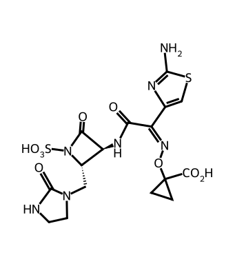 Nc1nc(C(=NOC2(C(=O)O)CC2)C(=O)N[C@@H]2C(=O)N(S(=O)(=O)O)[C@H]2CN2CCNC2=O)cs1